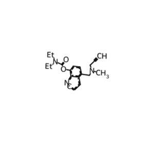 C#CCN(C)Cc1ccc(OC(=O)N(CC)CC)c2ncccc12